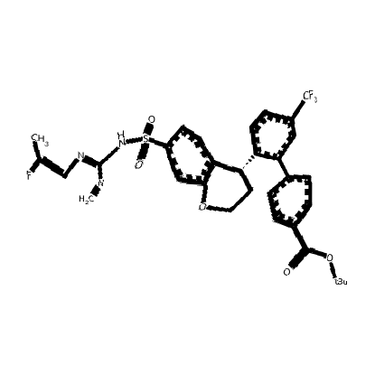 C=N/C(=N\C=C(/C)F)NS(=O)(=O)c1ccc2c(c1)OCC[C@H]2c1ccc(C(F)(F)F)cc1-c1ccc(C(=O)OC(C)(C)C)cc1